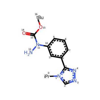 CC(C)n1cnnc1-c1cccc(N(N)C(=O)OC(C)(C)C)c1